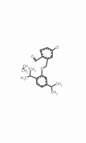 C=C.CC(C)c1ccc(C(C)C)c(OCc2cc(Cl)ccc2C=O)c1